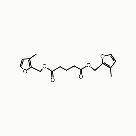 Cc1ccoc1COC(=O)CCCC(=O)OCc1occc1C